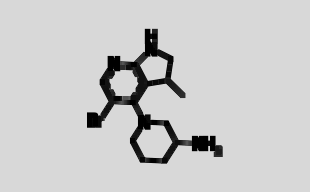 CC1CNc2ncc(Br)c(N3CCCC(N)C3)c21